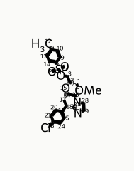 COC[C@@H](COS(=O)(=O)c1ccc(C)cc1)O[C@@H](CCc1ccc(Cl)cc1)Cn1ccnc1